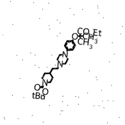 CCOC(=O)C(C)(C)Oc1ccc(N2CCN(CCC3CCN(C(=O)OC(C)(C)C)CC3)CC2)cc1